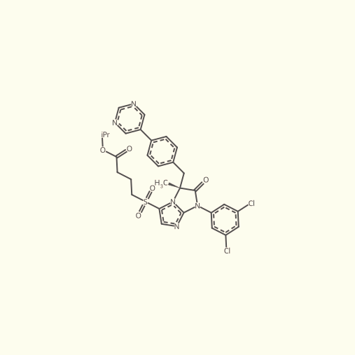 CC(C)OC(=O)CCCS(=O)(=O)c1cnc2n1[C@](C)(Cc1ccc(-c3cncnc3)cc1)C(=O)N2c1cc(Cl)cc(Cl)c1